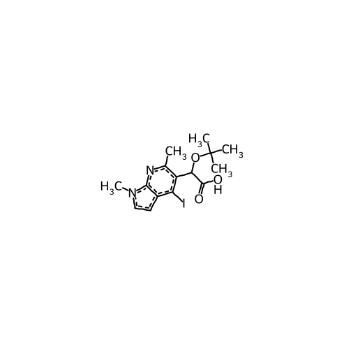 Cc1nc2c(ccn2C)c(I)c1C(OC(C)(C)C)C(=O)O